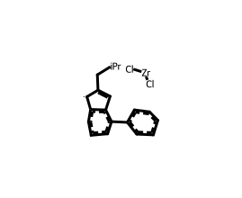 CC(C)CC1=Cc2c(cccc2-c2ccccc2)[CH]1.[Cl][Zr][Cl]